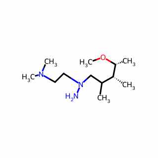 CO[C@H](C)[C@H](C)C(C)CN(N)CCN(C)C